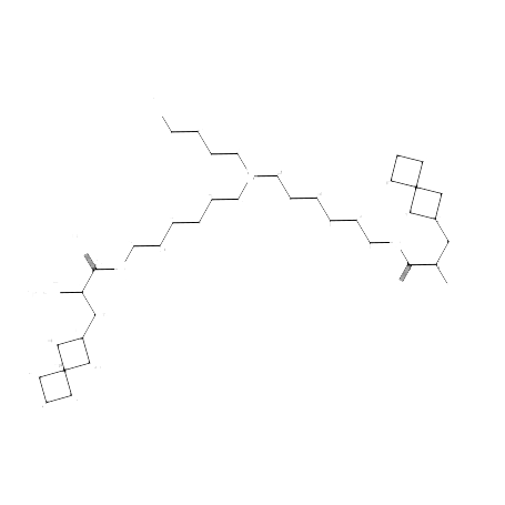 CCCCCCCCC(CC1CC2(CCC2)C1)C(=O)OCCCCCCN(CCCCO)CCCCCCOC(=O)C(CCCCCCCC)CC1CC2(CCC2)C1